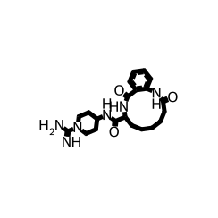 N=C(N)N1CCC(NC(=O)C2CCCCCC(=O)Nc3ccccc3C(=O)N2)CC1